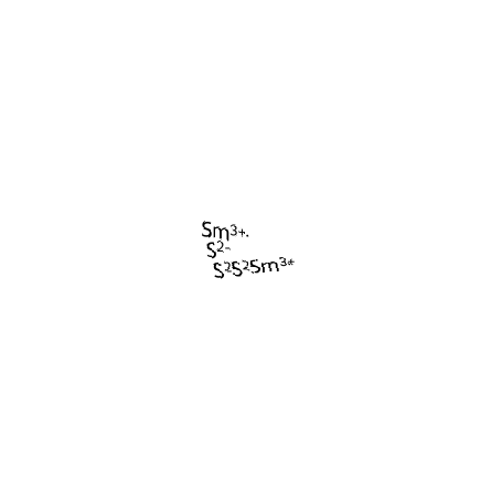 [S-2].[S-2].[S-2].[Sm+3].[Sm+3]